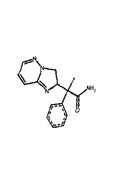 CC(C(N)=O)(c1ccccc1)C1CN2N=CC=CC2=N1